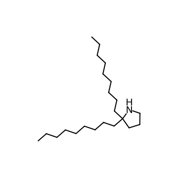 CCCCCCCCCC1(CCCCCCCCC)CCCN1